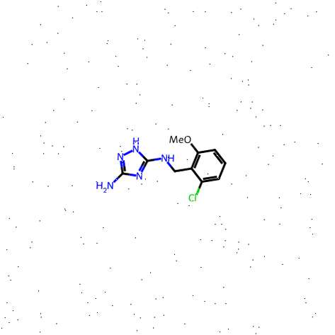 COc1cccc(Cl)c1CNc1nc(N)n[nH]1